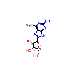 COc1nc(N)nc2[nH]c(C3O[C@H](CO)[C@@H](O)[C@@H]3O)nc12